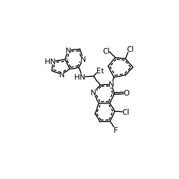 CCC(Nc1ncnc2[nH]cnc12)c1nc2ccc(F)c(Cl)c2c(=O)n1-c1ccc(Cl)c(Cl)c1